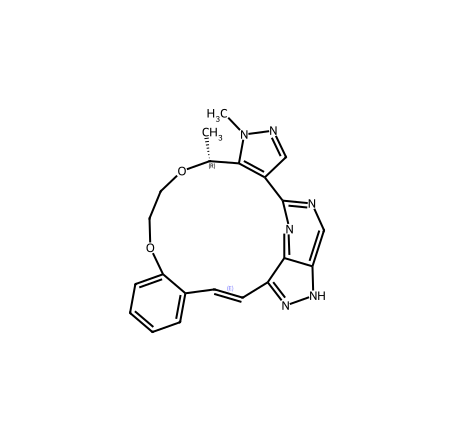 C[C@H]1OCCOc2ccccc2/C=C/c2n[nH]c3cnc(nc23)-c2cnn(C)c21